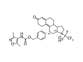 Cc1noc(C)c1NC(=O)OCc1ccc([C@H]2C[C@@]3(C)C(CC[C@@]3(O)C(F)(F)C(F)(F)F)C3CCC4=CC(=O)CCC4=C32)cc1